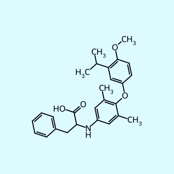 COc1ccc(Oc2c(C)cc(NC(Cc3ccccc3)C(=O)O)cc2C)cc1C(C)C